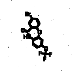 O=C1Nc2ccc(OC(F)(F)F)cc2Oc2ccc(Br)cc21